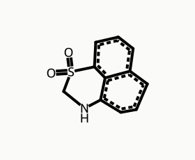 O=S1(=O)CNc2cccc3cccc1c23